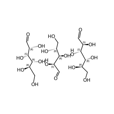 O=C[C@@H](O)[C@@H](O)[C@H](O)[C@H](O)CO.O=C[C@@H](O)[C@H](O)[C@H](O)CO.O=C[C@H](O)[C@@H](O)[C@H](O)[C@H](O)CO